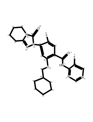 O=C(Nc1ncncc1F)c1cc(F)c(-n2nc3n(c2=O)CCCC3)cc1OCC1CCCCC1